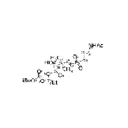 CCC(OC(=O)OCC(C)C)OC(=O)[C@H](O)C(C)(C)COS(=O)(=O)CCCNC(C)=O